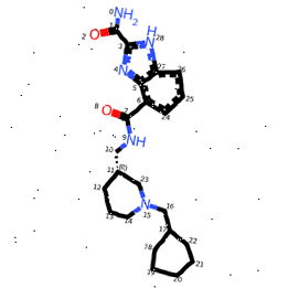 NC(=O)c1nc2c(C(=O)NC[C@H]3CCCN(CC4CCCCC4)C3)cccc2[nH]1